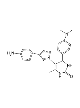 CC1=C(c2nc(-c3ccc(N)cc3)cs2)C(c2ccc(N(C)C)cc2)NC(=O)N1